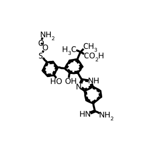 CC(C)(C(=O)O)c1cc(-c2nc3cc(C(=N)N)ccc3[nH]2)c(O)c(-c2cc(SOON)ccc2O)c1